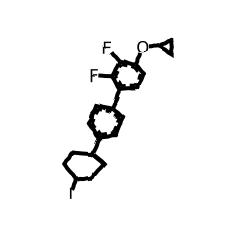 Fc1c(OC2CC2)ccc(-c2ccc(C3CCC(I)CC3)cc2)c1F